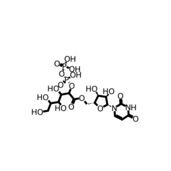 O=C(OC[C@H]1O[C@@H](n2ccc(=O)[nH]c2=O)[C@H](O)[C@@H]1O)C(OP(=O)(O)OP(=O)(O)O)C(O)C(O)C(O)CO